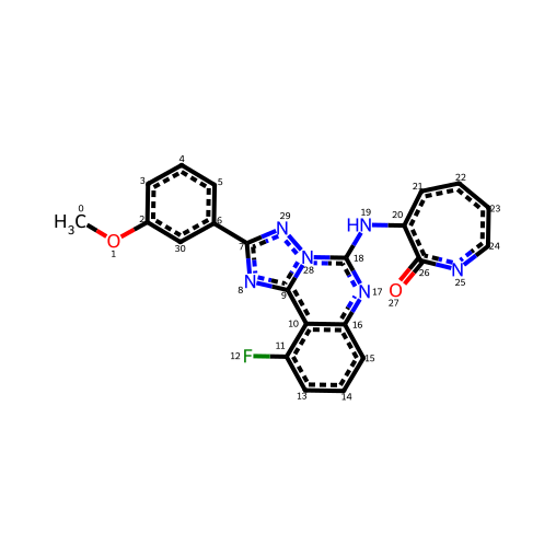 COc1cccc(-c2nc3c4c(F)cccc4nc(Nc4ccccnc4=O)n3n2)c1